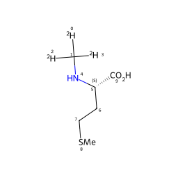 [2H]C([2H])([2H])N[C@@H](CCSC)C(=O)O